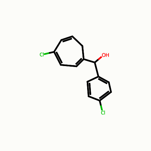 OC(C1=CC=C(Cl)C=CC1)c1ccc(Cl)cc1